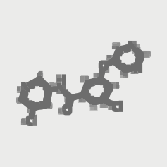 O=C(Nc1cncc(Cl)c1)c1cc(Cl)cc(Oc2cncnc2)c1